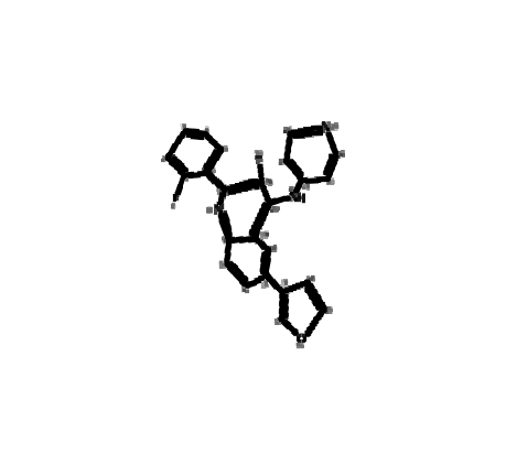 Fc1ccccc1-c1nc2ccc(-c3ccoc3)cc2c(Nc2ccncc2)c1F